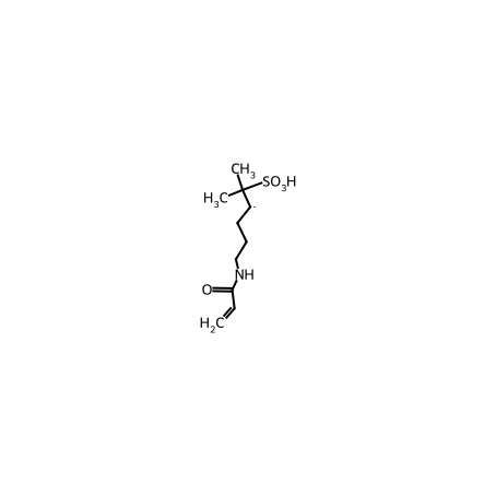 C=CC(=O)NCCC[CH]C(C)(C)S(=O)(=O)O